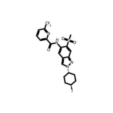 CS(=O)(=O)c1cc2nn([C@H]3CC[C@H](I)CC3)cc2cc1NC(=O)c1cccc(C(F)(F)F)n1